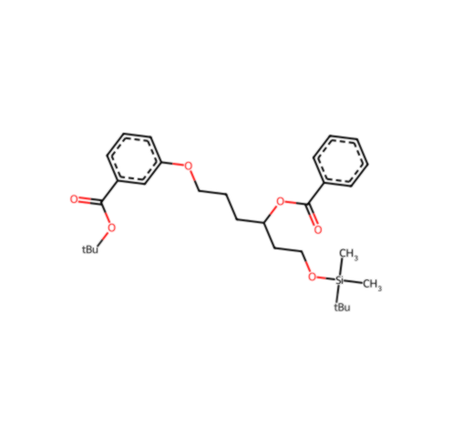 CC(C)(C)OC(=O)c1cccc(OCCCC(CCO[Si](C)(C)C(C)(C)C)OC(=O)c2ccccc2)c1